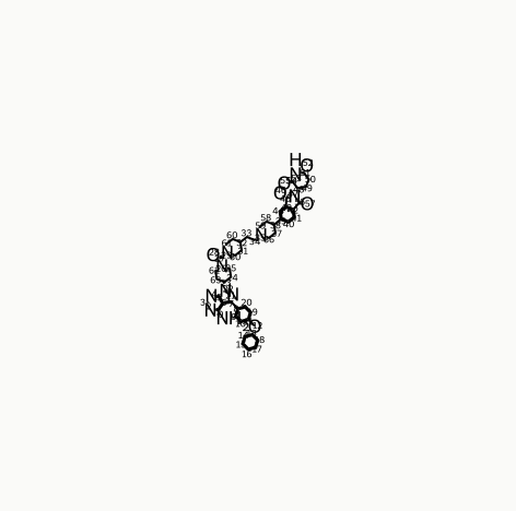 Nc1ncnc2c1c(-c1ccc(Oc3ccccc3)cc1)nn2C1CCN(C(=O)N2CCC(CCN3CCC(c4ccc5c(c4)C(=O)N(C4CCC(=O)NC4=O)C5=O)CC3)CC2)CC1